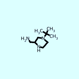 CC(C)(C)N1CCNC(CN)C1